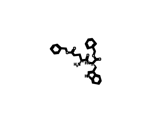 N[C@H](CCC(=O)OCc1ccccc1)C(=O)N[C@@H](Cc1c[nH]c2ccccc12)C(=O)OCc1ccccc1